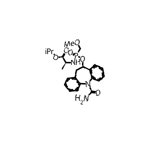 COCP(=O)(N[C@@H](C)C(=O)OC(C)C)OC1Cc2ccccc2N(C(N)=O)c2ccccc21